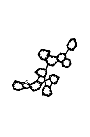 c1ccc(-c2cc3c4ccccc4c(-c4ccc5c(c4)C4(c6ccccc6-c6ccccc64)c4ccc6c(sc7ccccc76)c4-5)cc3c3ccccc23)cc1